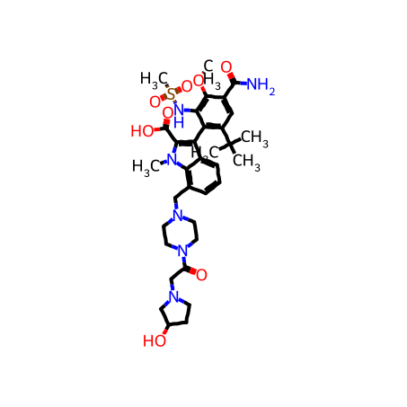 COc1c(C(N)=O)cc(C(C)(C)C)c(-c2c(C(=O)O)n(C)c3c(CN4CCN(C(=O)CN5CCC(O)C5)CC4)cccc23)c1NS(C)(=O)=O